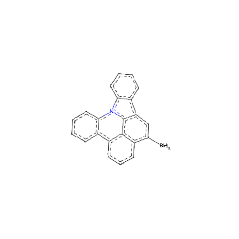 Bc1cc2c3ccccc3n3c4ccccc4c4cccc1c4c23